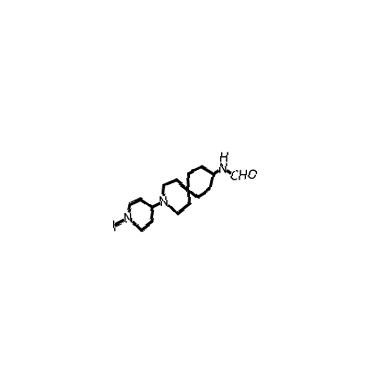 O=CNC1CCC2(CC1)CCN(C1CCN(I)CC1)CC2